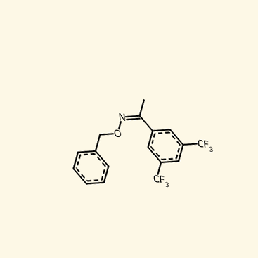 CC(=NOCc1ccccc1)c1cc(C(F)(F)F)cc(C(F)(F)F)c1